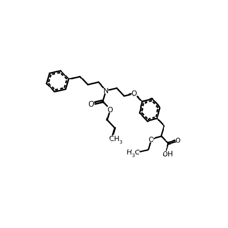 CCCOC(=O)N(CCCc1ccccc1)CCOc1ccc(CC(OCC)C(=O)O)cc1